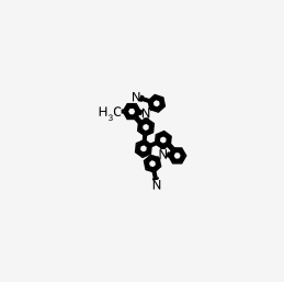 Cc1ccc2c(c1)c1cc(-c3ccccc3-c3cccc4c5ccccc5n(-c5cccc(C#N)c5)c34)ccc1n2-c1ccccc1C#N